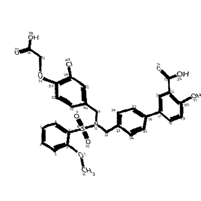 COc1ccccc1S(=O)(=O)N(Cc1ccc(-c2ccc(O)c(C(=O)O)c2)cc1)Cc1ccc(OCC(=O)O)c(Cl)c1